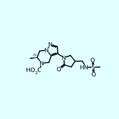 C[C@H]1Cn2ncc(N3CC(CNS(C)(=O)=O)CC3=O)c2CN1C(=O)O